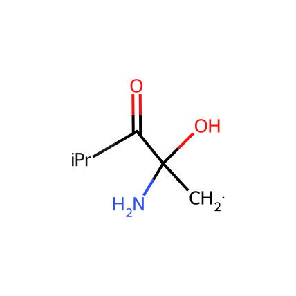 [CH2]C(N)(O)C(=O)C(C)C